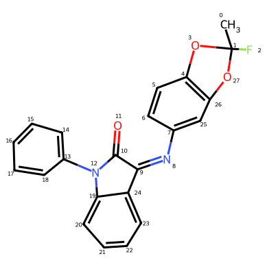 CC1(F)Oc2ccc(N=C3C(=O)N(c4ccccc4)c4ccccc43)cc2O1